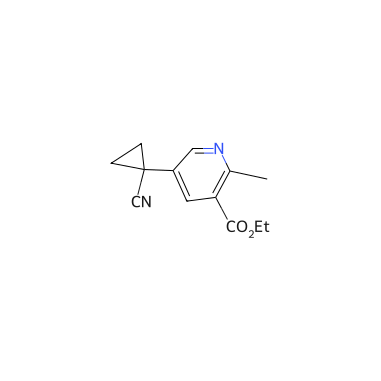 CCOC(=O)c1cc(C2(C#N)CC2)cnc1C